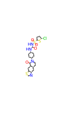 O=C(Nc1ccc(-n2ccc3cc4ncsc4cc3c2=O)cc1)NS(=O)(=O)c1ccc(Cl)s1